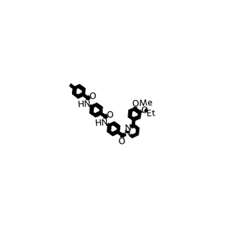 CCOc1cc(C2=NN(C(=O)c3ccc(NC(=O)c4ccc(NC(=O)c5ccc(C)cc5)cc4)cc3)CCC2)ccc1OC